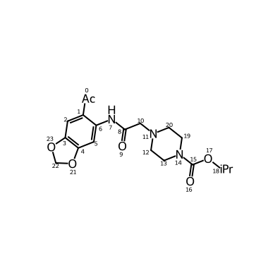 CC(=O)c1cc2c(cc1NC(=O)CN1CCN(C(=O)OC(C)C)CC1)OCO2